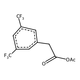 CC(=O)OC(=O)Cc1cc(C(F)(F)F)cc(C(F)(F)F)c1